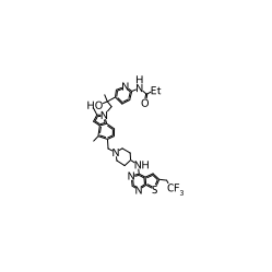 CCC(=O)Nc1ccc(C(C)(O)Cn2c(C)cc3c(C)c(CN4CCC(Nc5ncnc6sc(CC(F)(F)F)cc56)CC4)ccc32)cn1